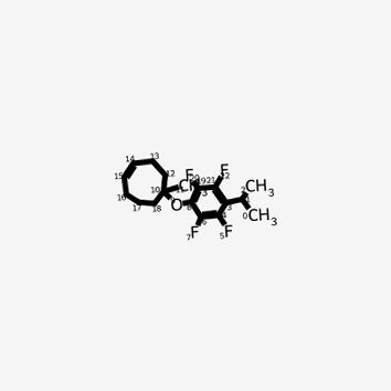 CC(C)c1c(F)c(F)c(OC2(C)CC/C=C\CCC2)c(F)c1F